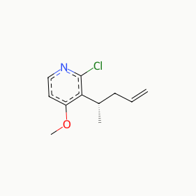 C=CC[C@H](C)c1c(OC)ccnc1Cl